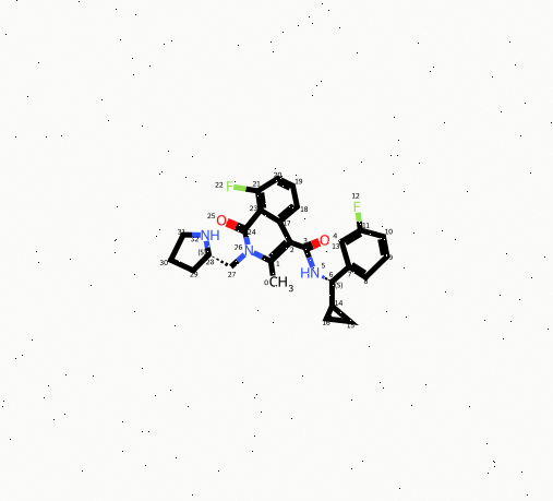 Cc1c(C(=O)N[C@H](c2cccc(F)c2)C2CC2)c2cccc(F)c2c(=O)n1C[C@@H]1CCCN1